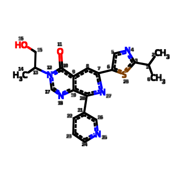 CC(C)c1ncc(-c2cc3c(=O)n(C(C)CO)cnc3c(-c3cccnc3)n2)s1